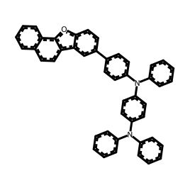 c1ccc(N(c2ccccc2)c2ccc(N(c3ccccc3)c3ccc(-c4ccc5oc6c7ccccc7ccc6c5c4)cc3)cc2)cc1